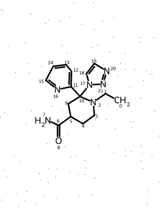 CCN1CCC(C(N)=O)CC1(c1ccccn1)n1ccnn1